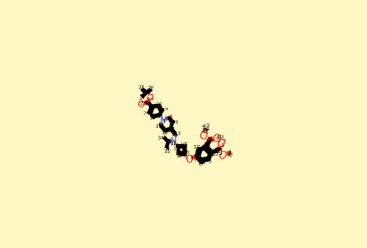 COC(=O)c1ccc(O[C@H]2C[C@H](N(CC3CCN(c4ccc(C(=O)OC(C)(C)C)cc4)CC3)C(C)C)C2)cc1C(=O)OC